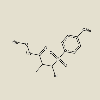 CCC(C(C)C(=O)NOC(C)(C)C)S(=O)(=O)c1ccc(OC)cc1